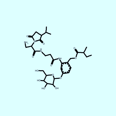 CCC(C)C(=O)OCc1ccc(OC2OC(CO)C(O)C(O)C2O)cc1NC(=O)CCNC(=O)C(CN)N1C(=O)CC(C(C)C)C1=O